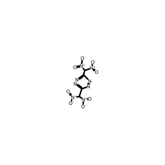 O=[N+]([O-])C(c1nnc(C([N+](=O)[O-])[N+](=O)[O-])nn1)[N+](=O)[O-]